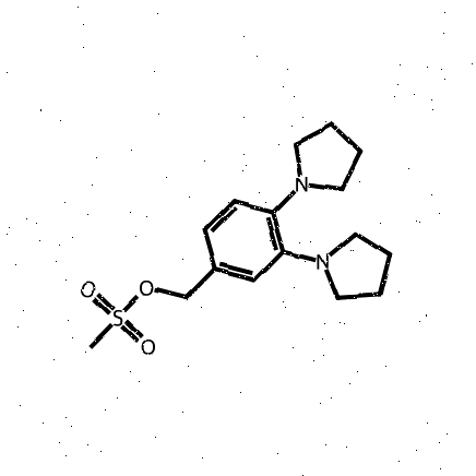 CS(=O)(=O)OCc1ccc(N2CCCC2)c(N2CCCC2)c1